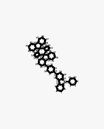 c1ccc(-n2c3ccccc3c3cc(-c4ccc(-c5cccc6c5-c5ccccc5C65c6ccccc6C6(c7ccccc7-c7ccccc76)c6ccccc65)cc4)ccc32)cc1